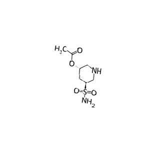 CC(=O)O[C@@H]1CNC[C@@H](S(N)(=O)=O)C1